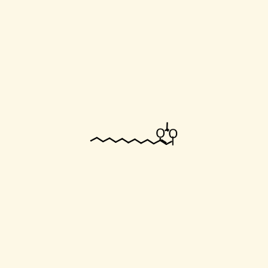 CCCCCCCCCCCC(=CI)OC(C)=O